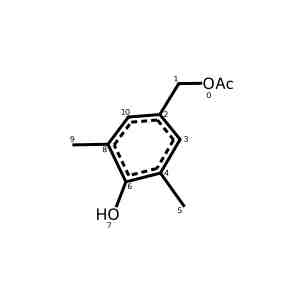 CC(=O)OCc1cc(C)c(O)c(C)c1